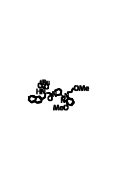 COCCCn1c([C@@H]2CCCN(C(=O)C[C@@H](Cc3ccc4ccccc4c3)NC(=O)OC(C)(C)C)C2)nc2c(OC)cccc21